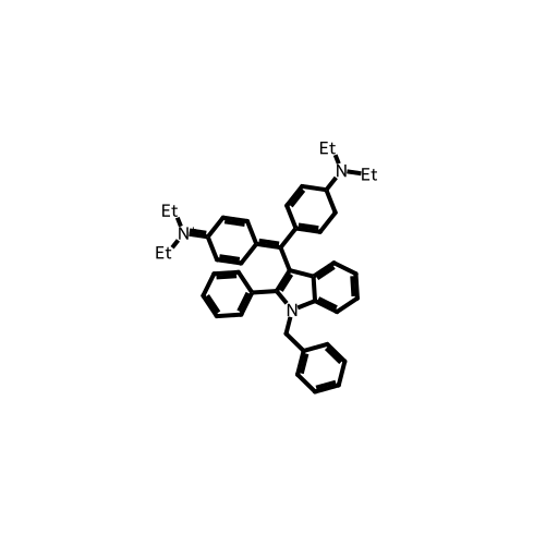 CCN(CC)C1C=CC(C(=C2C=CC(=[N+](CC)CC)C=C2)c2c(-c3ccccc3)n(Cc3ccccc3)c3ccccc23)=CC1